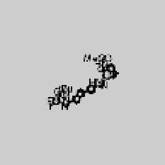 COC(=O)N[C@H]1CCc2ccn3c2C1C(=O)C[C@H](c1ncc(-c2ccc(-c4ccc5cc(-c6cnc([C@@H]7CC(F)(F)CN7C(=O)OC(C)(C)C)[nH]6)ccc5c4)cc2)[nH]1)C3